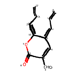 C=C/C=c1/cc(C=O)c(=O)o/c1=C/C=C